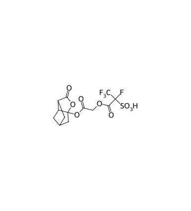 O=C(COC(=O)C(F)(C(F)(F)F)S(=O)(=O)O)OC12CC3CC(C(=O)O1)C2C3